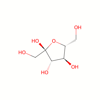 OC[C@H]1O[C@@](O)(CO)[C@@H](O)[C@@H]1O